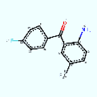 Nc1ccc(C(F)(F)F)cc1C(=O)c1ccc(F)cc1